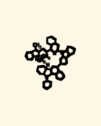 C=C/C(=C\C1=C(C)c2ccccc2C1(C)C)c1nc(-n2c3ccccc3c3ccc(-c4cc5c(c6ccccc46)N(c4ccccc4)C4C=CC=C[C@@H]54)cc32)cc2c1CCC=C2